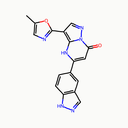 Cc1cnc(-c2cnn3c(=O)cc(-c4ccc5[nH]ncc5c4)[nH]c23)o1